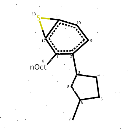 CCCCCCCCc1c(C2CCC(C)C2)ccc2c1S2